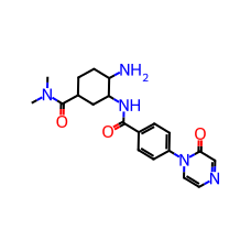 CN(C)C(=O)C1CCC(N)C(NC(=O)c2ccc(-n3ccncc3=O)cc2)C1